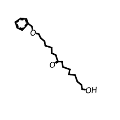 O=C(CCCCCCCCO)CCCCCCCOCc1ccccc1